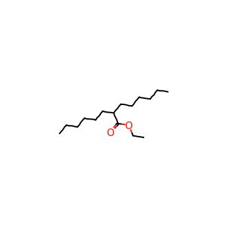 CCCCCCC(CCCCCC)C(=O)OCC